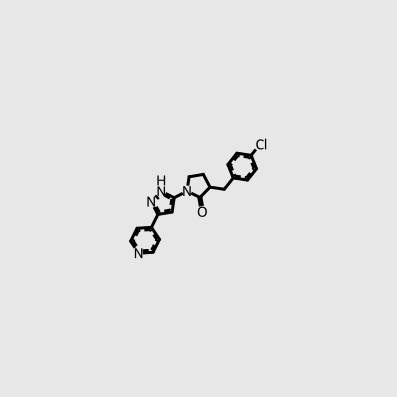 O=C1C(Cc2ccc(Cl)cc2)CCN1c1cc(-c2ccncc2)n[nH]1